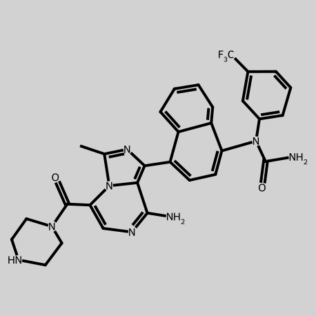 Cc1nc(-c2ccc(N(C(N)=O)c3cccc(C(F)(F)F)c3)c3ccccc23)c2c(N)ncc(C(=O)N3CCNCC3)n12